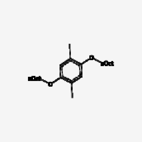 CCCCCCCCOc1cc(I)c(OCCCCCCCC)cc1I